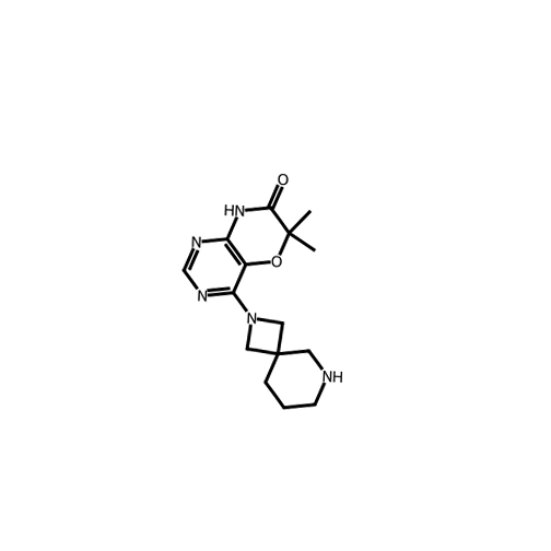 CC1(C)Oc2c(ncnc2N2CC3(CCCNC3)C2)NC1=O